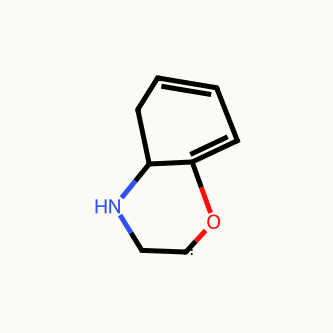 [C]1CNC2CC=CC=C2O1